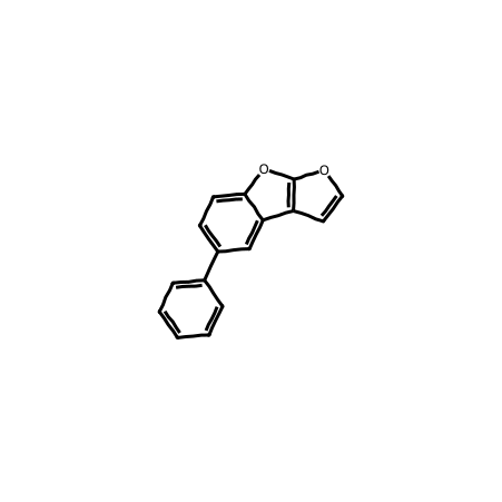 c1ccc(-c2ccc3oc4occc4c3c2)cc1